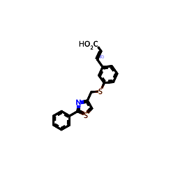 O=C(O)/C=C/c1cccc(SCc2csc(-c3ccccc3)n2)c1